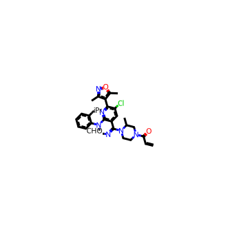 C=CC(=O)N1CCN(/C(=N/C)c2cc(Cl)c(-c3c(C)noc3C)nc2N(C=O)c2ccccc2C(C)C)C(C)C1